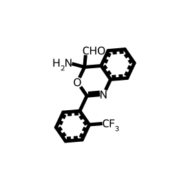 NC1(C=O)OC(c2ccccc2C(F)(F)F)=Nc2ccccc21